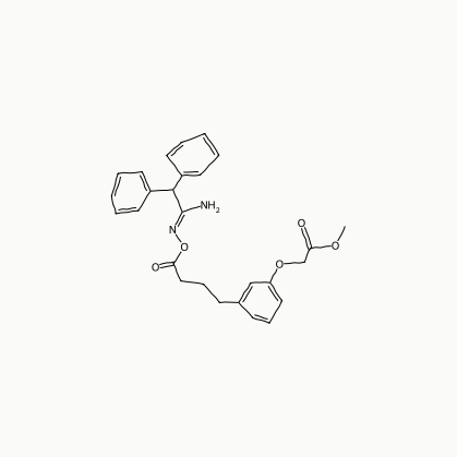 COC(=O)COc1cccc(CCCC(=O)ON=C(N)C(c2ccccc2)c2ccccc2)c1